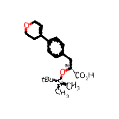 CC(C)(C)[Si](C)(C)O[C@H](Cc1ccc(C2=CCOCC2)cc1)C(=O)O